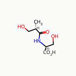 C[C@@H](CO)C(=O)N[C@@H](CO)C(=O)O